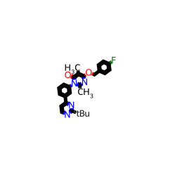 Cc1c(OCc2ccc(F)cc2)nc(C)n(-c2cccc(-c3ccnc(C(C)(C)C)n3)c2)c1=O